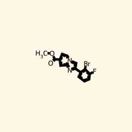 COC(=O)c1ccn2cc(-c3cccc(F)c3Br)nc2c1